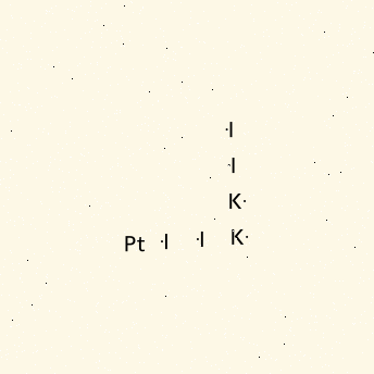 [I].[I].[I].[I].[K].[K].[Pt]